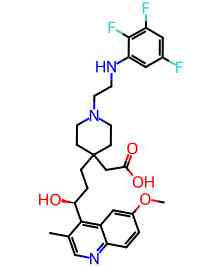 COc1ccc2ncc(C)c([C@@H](O)CCC3(CC(=O)O)CCN(CCNc4cc(F)cc(F)c4F)CC3)c2c1